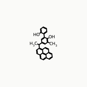 Cc1cc(C(C)c2ccc3ccc4cccc5ccc2c3c45)cc(-c2ccccc2O)c1O